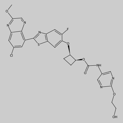 COc1cnc2c(-c3nc4cc(F)c(O[C@@H]5CC[C@@H]5OC(=O)Nc5cnc(OCCO)nc5)cc4s3)cc(Cl)cc2n1